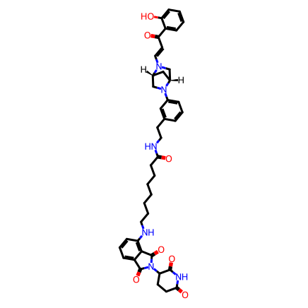 O=C(CCCCCCCNc1cccc2c1C(=O)N(C1CCC(=O)NC1=O)C2=O)NCCc1cccc(N2C[C@H]3C[C@@H]2CN3/C=C/C(=O)c2ccccc2O)c1